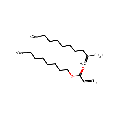 C=C(CCCCCCCCCCCCCCCCC)C(=O)O.C=CC(=O)OCCCCCCCCCCCCCCCCC